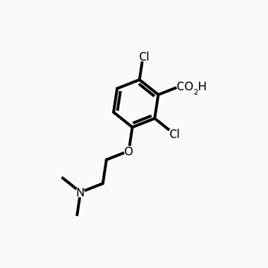 CN(C)CCOc1ccc(Cl)c(C(=O)O)c1Cl